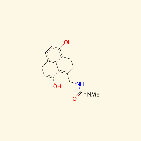 CNC(=O)NCC1=C2C(O)=CCc3ccc(O)c(c32)CC1